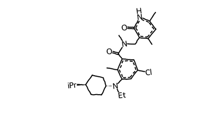 CCN(c1cc(Cl)cc(C(=O)N(C)Cc2c(C)cc(C)[nH]c2=O)c1C)[C@H]1CC[C@H](C(C)C)CC1